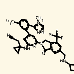 Cc1ccc(-c2nncn2C)c(-c2cc(NC3(CC#N)CC3)nc(N3Cc4c(cc(CNC5CCC5)cc4C(F)(F)F)C3=O)c2)c1